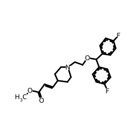 COC(=O)/C=C/C1CCN(CCOC(c2ccc(F)cc2)c2ccc(F)cc2)CC1